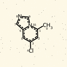 Cc1cc(Cl)cc2cncn12